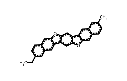 CCc1ccc2cc3oc4cc5c(cc4c3cc2c1)oc1cc2ccc(C)cc2cc15